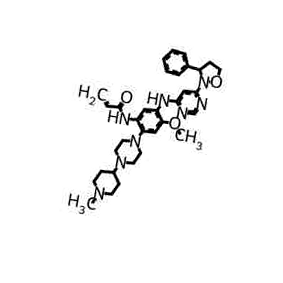 C=CC(=O)Nc1cc(Nc2cc(N3OCCC3c3ccccc3)ncn2)c(OC)cc1N1CCN(C2CCN(C)CC2)CC1